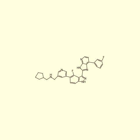 Fc1cccc(-c2ccnc3[nH]c(-c4n[nH]c5ccc(-c6cncc(CNCC7CCCC7)c6)c(F)c45)nc23)c1